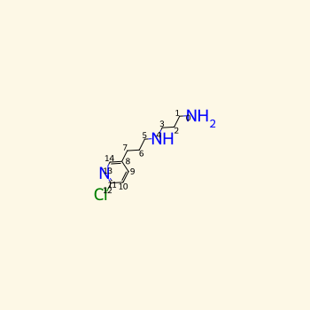 NCCCNCCCc1ccc(Cl)nc1